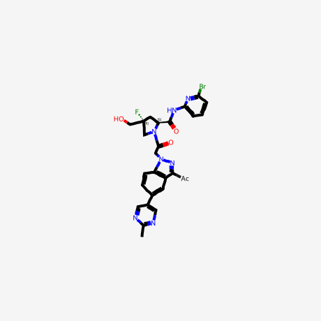 CC(=O)c1nn(CC(=O)N2C[C@@](F)(CO)C[C@H]2C(=O)Nc2cccc(Br)n2)c2ccc(-c3cnc(C)nc3)cc12